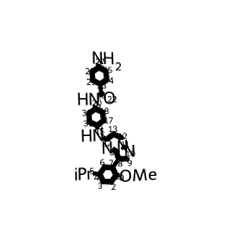 COc1ccc(C(C)C)cc1-c1cnn2ccc(Nc3ccc(NC(=O)c4ccc(N)cc4)cc3)nc12